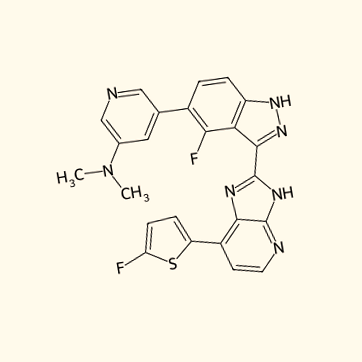 CN(C)c1cncc(-c2ccc3[nH]nc(-c4nc5c(-c6ccc(F)s6)ccnc5[nH]4)c3c2F)c1